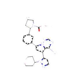 CC(C)(C)OC(=O)N1C[C@H](O)CC1c1cccc(-c2cc(-c3ccnn3C3CCOCC3)c3c(N)ncnn23)c1